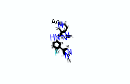 CC(=O)N1CCc2c(c(Nc3ccc(F)c(-c4cnn(C)c4)c3)nn2C)C1